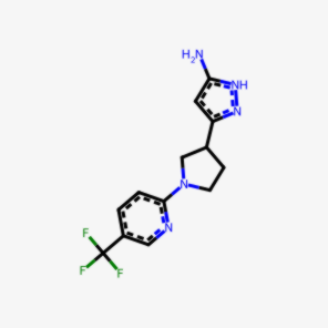 Nc1cc(C2CCN(c3ccc(C(F)(F)F)cn3)C2)n[nH]1